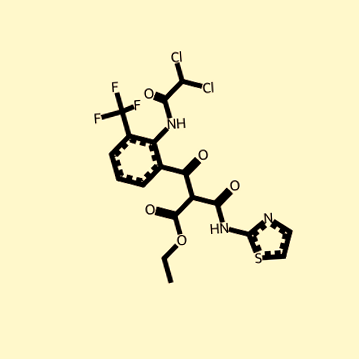 CCOC(=O)C(C(=O)Nc1nccs1)C(=O)c1cccc(C(F)(F)F)c1NC(=O)C(Cl)Cl